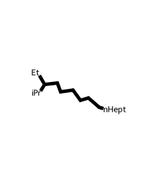 [CH2]CC(CCCCCCCCCCCCC)C(C)C